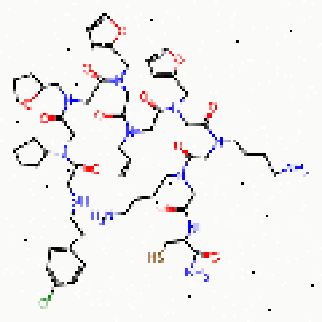 C=CCN(CC(=O)N(CC(=O)N(CCCCN)CC(=O)N(CCCCN)CC(=O)NC(CS)C(N)=O)Cc1ccco1)C(=O)CN(Cc1ccco1)C(=O)CN(CC1CCCO1)C(=O)CN(C(=O)CNCCc1ccc(Cl)cc1)C1CCCC1